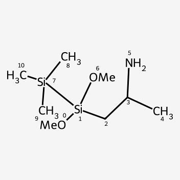 CO[Si](CC(C)N)(OC)[Si](C)(C)C